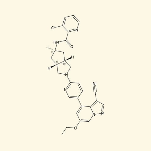 CCOc1cc(-c2ccc(N3C[C@@H]4C[C@@](C)(NC(=O)c5ncccc5Cl)C[C@@H]4C3)nc2)c2c(C#N)cnn2c1